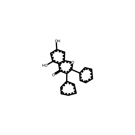 O=c1c(-c2ccccc2)c(-c2ccccc2)oc2cc(O)cc(O)c12